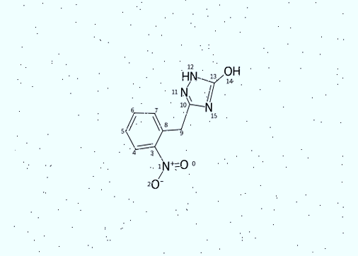 O=[N+]([O-])c1ccccc1Cc1n[nH]c(O)n1